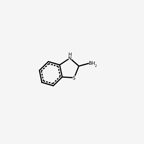 BC1Nc2ccccc2S1